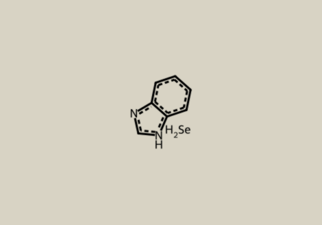 [SeH2].c1ccc2[nH]cnc2c1